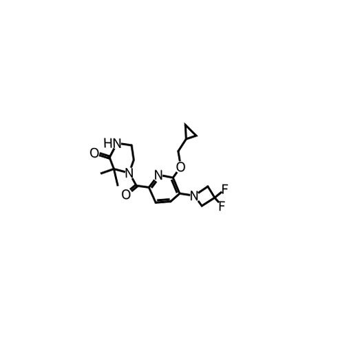 CC1(C)C(=O)NCCN1C(=O)c1ccc(N2CC(F)(F)C2)c(OCC2CC2)n1